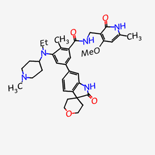 CCN(c1cc(-c2ccc3c(c2)NC(=O)C32CCOCC2)cc(C(=O)NCc2c(OC)cc(C)[nH]c2=O)c1C)C1CCN(C)CC1